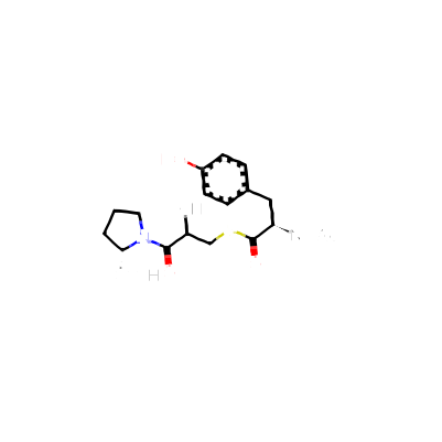 CC(=O)N[C@H](Cc1ccc(O)cc1)C(=O)SCC(C)C(=O)N1CCC[C@H]1C(=O)O